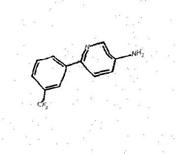 Nc1ccc(-c2cccc(C(F)(F)F)c2)nc1